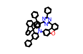 c1ccc(-c2ccc3c(c2)C2(c4ccccc4-c4ccccc42)c2cc(-c4ccccc4)ccc2N3c2ccc3oc4cccc(-c5nc(-c6ccccc6)nc(-c6ccccc6)n5)c4c3c2)cc1